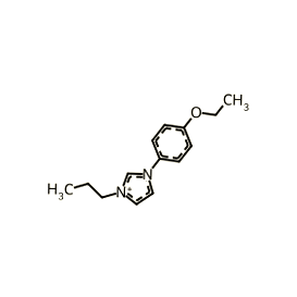 CCC[n+]1ccn(-c2ccc(OCC)cc2)c1